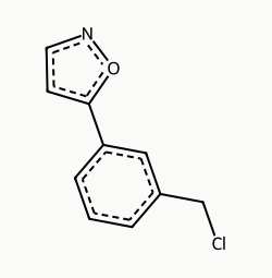 ClCc1cccc(-c2ccno2)c1